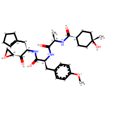 COc1ccc(C[C@H](NC(=O)[C@@H](C)NC(=O)[C@H]2CC[C@@](C)(O)CC2)C(=O)N[C@@H](CC2=CCCC2)C(=O)[C@H]2CO2)cc1